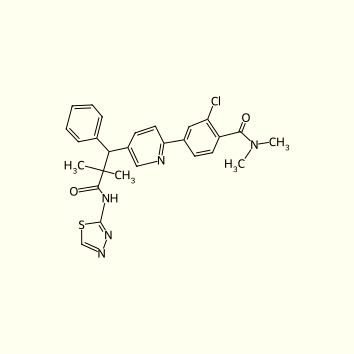 CN(C)C(=O)c1ccc(-c2ccc(C(c3ccccc3)C(C)(C)C(=O)Nc3nncs3)cn2)cc1Cl